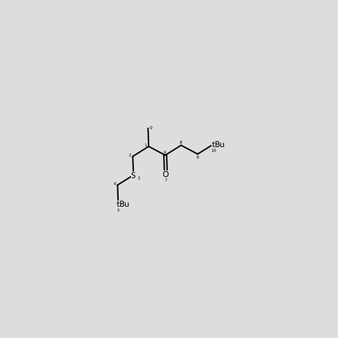 CC(CSCC(C)(C)C)C(=O)CCC(C)(C)C